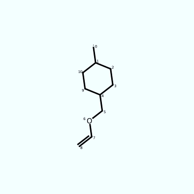 [CH2]C1CCC(COC=C)CC1